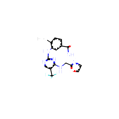 Cc1ccc(C(N)=O)cc1Nc1ncc(C(F)(F)F)c(NCc2ncco2)n1